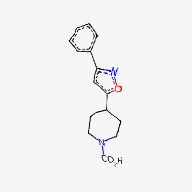 O=C(O)N1CCC(c2cc(-c3ccccc3)no2)CC1